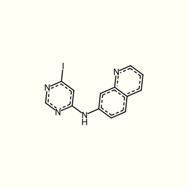 Ic1cc(Nc2ccc3cccnc3c2)ncn1